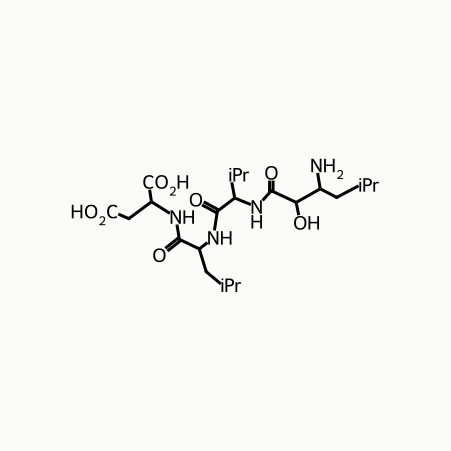 CC(C)CC(NC(=O)C(NC(=O)C(O)C(N)CC(C)C)C(C)C)C(=O)NC(CC(=O)O)C(=O)O